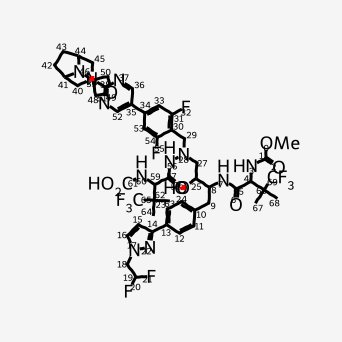 COC(=O)NC(C(=O)NC(Cc1ccc(-c2ccn(CC(F)F)n2)cc1)C(O)CN(Cc1c(F)cc(-c2cnc(N3CC4CCC(C3)N4C3COC3)nc2)cc1F)NC(=O)C(NC(=O)O)C(C)(C)C(F)(F)F)C(C)(C)C(F)(F)F